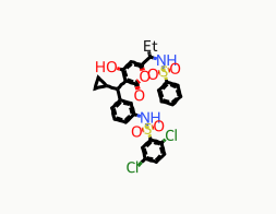 CCC(NS(=O)(=O)c1ccccc1)c1cc(O)c(C(c2cccc(NS(=O)(=O)c3cc(Cl)ccc3Cl)c2)C2CC2)c(=O)o1